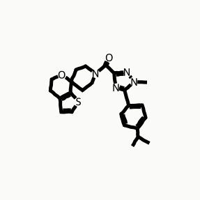 CC(C)c1ccc(-c2nc(C(=O)N3CCC4(CC3)OCCc3ccsc34)nn2C)cc1